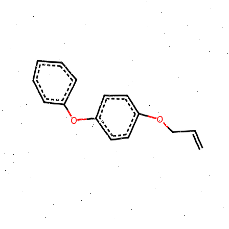 C=CCOc1ccc(Oc2ccccc2)cc1